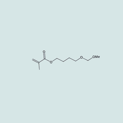 C=C(C)C(=O)OCCCCOCOC